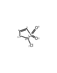 O=S1(=O)C=CSN1Cl